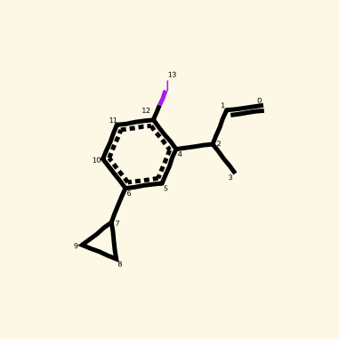 C=C[C](C)c1cc(C2CC2)ccc1I